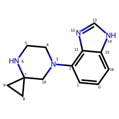 c1cc(N2CCNC3(CC3)C2)c2nc[nH]c2c1